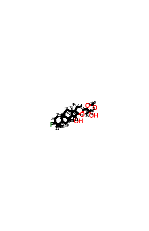 CC(=O)O[C@@H]([C@H]1C[C@@H](C)C2=C(O1)[C@H](O)[C@@]1(C)[C@@H]3CC[C@H]4C(C)(C)[C@@H](F)CC[C@@]45C[C@@]35CC[C@]21C)C(C)(C)O